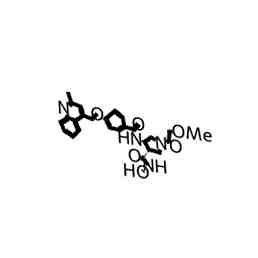 COCC(=O)N1C[C@H](C(=O)NO)[C@H](NC(=O)c2ccc(OCc3cc(C)nc4ccccc34)cc2)C1